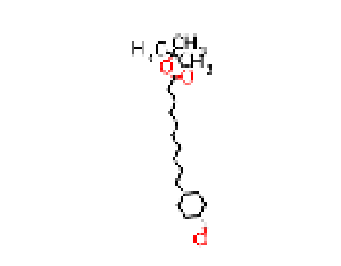 CC(C)(C)OC(=O)CCCCCCCCC[C@H]1CC[C@H](C=O)CC1